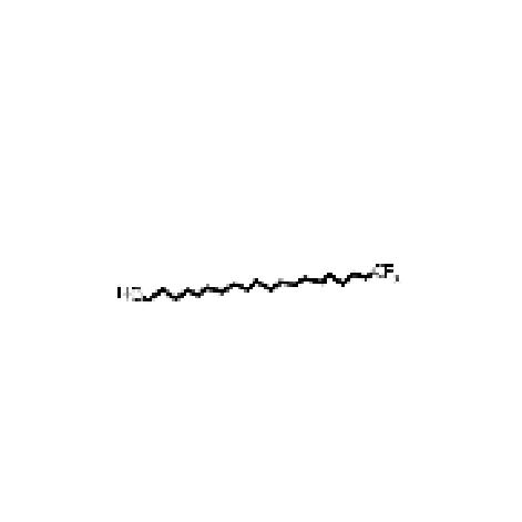 OCCCCCCCCCCCCCCCCCCCC(F)(F)F